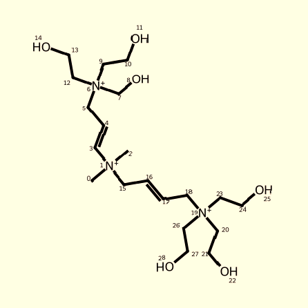 C[N+](C)(C=CC[N+](CO)(CCO)CCO)CC=CC[N+](CCO)(CCO)CCO